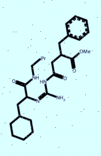 COC(=O)C(CC(=O)NC(N)=NC(CC1CCCCC1)C(=O)NCC(C)C)Cc1ccccc1